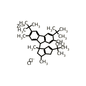 Cc1cc2c(cc1C(C)(C)C)-c1cc(C(C)(C)C)c(C)cc1C2C1(C)CC(C)C2=C1C=C(C(C)(C)C)C2.[Cl-].[Cl-].[Zr+2]